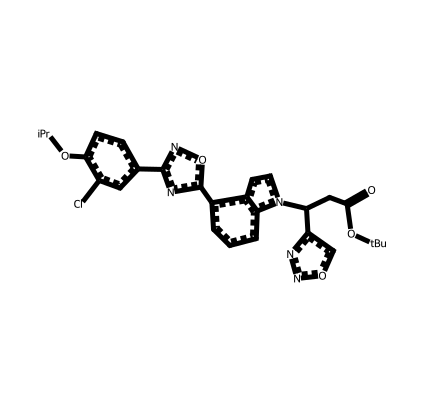 CC(C)Oc1ccc(-c2noc(-c3cccc4c3ccn4C(CC(=O)OC(C)(C)C)c3conn3)n2)cc1Cl